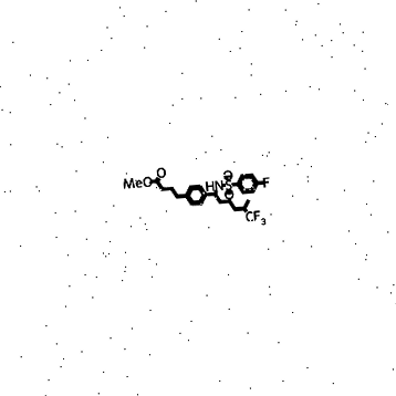 COC(=O)CCCc1ccc(C(CCCC(C)C(F)(F)F)NS(=O)(=O)c2ccc(F)cc2)cc1